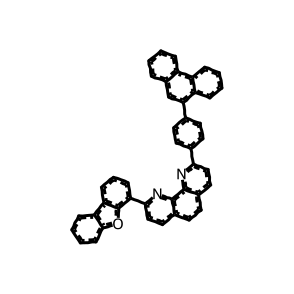 c1ccc2c(c1)cc(-c1ccc(-c3ccc4ccc5ccc(-c6cccc7c6oc6ccccc67)nc5c4n3)cc1)c1ccccc12